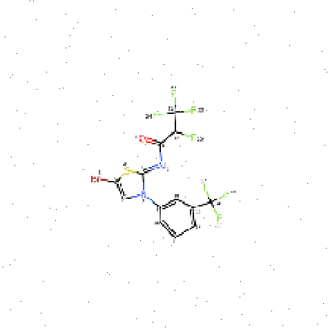 O=C(N=c1sc(Br)cn1-c1cccc(C(F)(F)F)c1)C(F)C(F)(F)F